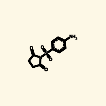 Nc1ccc(S(=O)(=O)N2C(=O)CCC2=O)cc1